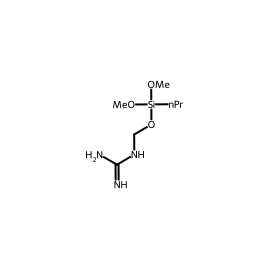 CCC[Si](OC)(OC)OCNC(=N)N